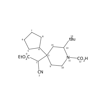 CCOC(=O)C(C#N)C1(C2CCCC2)CCN(C(=O)O)C(C(C)(C)C)C1